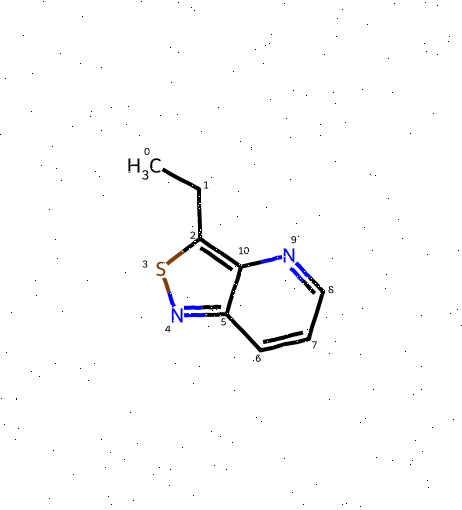 CCc1snc2cccnc12